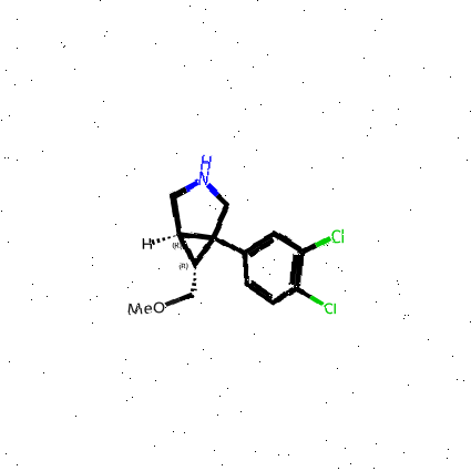 COC[C@@H]1[C@H]2CNCC21c1ccc(Cl)c(Cl)c1